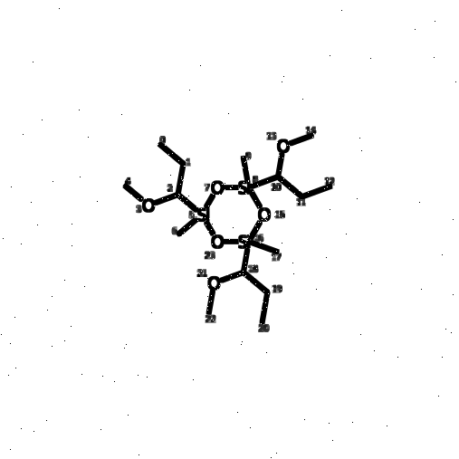 CCC(OC)[Si]1(C)O[Si](C)(C(CC)OC)O[Si](C)(C(CC)OC)O1